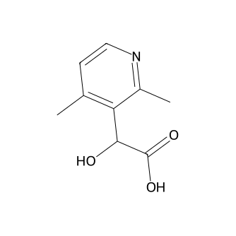 Cc1ccnc(C)c1C(O)C(=O)O